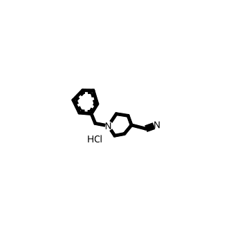 Cl.N#CC1CCN(Cc2ccccc2)CC1